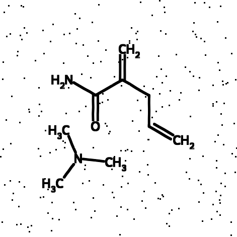 C=CCC(=C)C(N)=O.CN(C)C